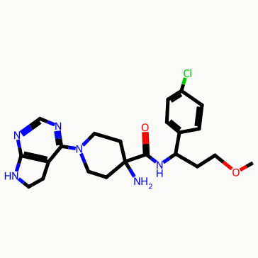 COCCC(NC(=O)C1(N)CCN(c2ncnc3c2CCN3)CC1)c1ccc(Cl)cc1